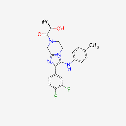 Cc1ccc(Nc2c(-c3ccc(F)c(F)c3)nc3n2CCN(C(=O)[C@H](O)C(C)C)C3)cc1